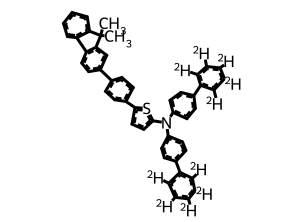 [2H]c1c([2H])c([2H])c(-c2ccc(N(c3ccc(-c4c([2H])c([2H])c([2H])c([2H])c4[2H])cc3)c3ccc(-c4ccc(-c5ccc6c(c5)C(C)(C)c5ccccc5-6)cc4)s3)cc2)c([2H])c1[2H]